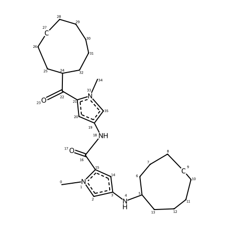 Cn1cc(NC2CCCCCCCC2)cc1C(=O)Nc1cc(C(=O)C2CCCCCCCC2)n(C)c1